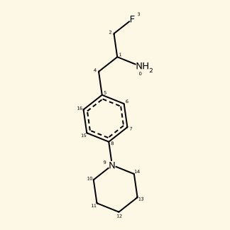 NC(CF)Cc1ccc(N2CCCCC2)cc1